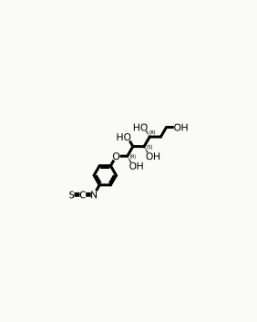 OCC[C@@H](O)[C@H](O)C(O)[C@H](O)Oc1ccc(N=C=S)cc1